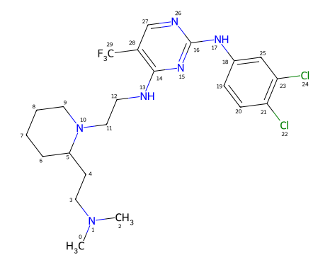 CN(C)CCC1CCCCN1CCNc1nc(Nc2ccc(Cl)c(Cl)c2)ncc1C(F)(F)F